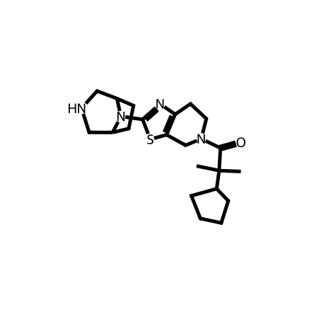 CC(C)(C(=O)N1CCc2nc(N3C4CCC3CNC4)sc2C1)C1CCCC1